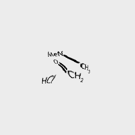 C=O.CNC.Cl